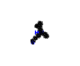 CN1C=CC=C(c2ccc(-c3ccc(C4=CC(c5ccc6ccccc6c5)=NC(c5ccc(-c6cc7ccccc7c7ccccc67)cc5)N4)cc3)cc2)C1